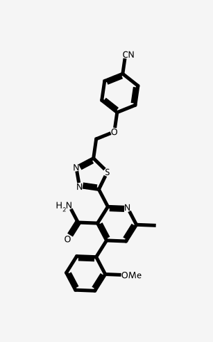 COc1ccccc1-c1cc(C)nc(-c2nnc(COc3ccc(C#N)cc3)s2)c1C(N)=O